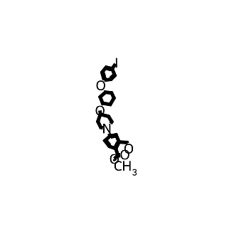 COC(=O)c1ccc(N2CCC(O[C@H]3CCC[C@@H](Oc4ccc(I)cc4)C3)CC2)cc1C=O